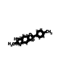 Cc1ccc(-c2nc3cc4nc(C)[nH]c4cc3o2)cc1